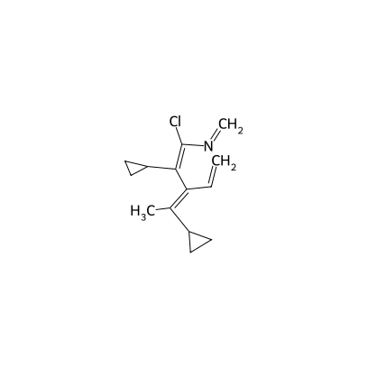 C=CC(=C(/C)C1CC1)/C(=C(/Cl)N=C)C1CC1